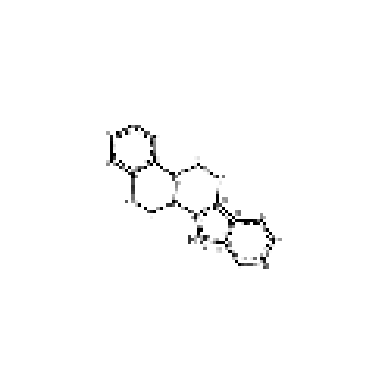 c1ccc2c(c1)CCC1c3[nH]c4ccccc4c3CCN21